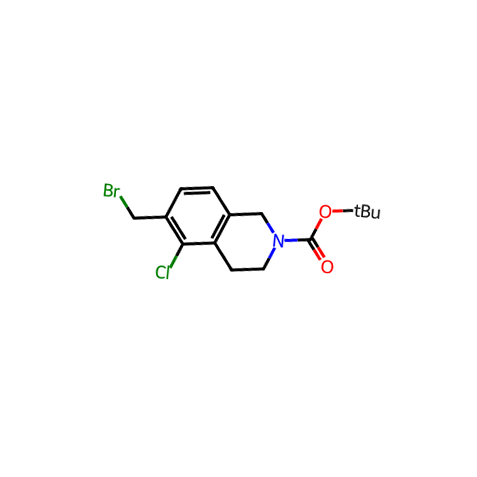 CC(C)(C)OC(=O)N1CCc2c(ccc(CBr)c2Cl)C1